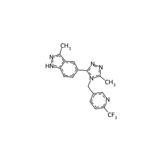 Cc1n[nH]c2ccc(-c3nnc(C)n3Cc3ccc(C(F)(F)F)nc3)cc12